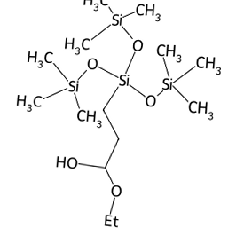 CCOC(O)CC[Si](O[Si](C)(C)C)(O[Si](C)(C)C)O[Si](C)(C)C